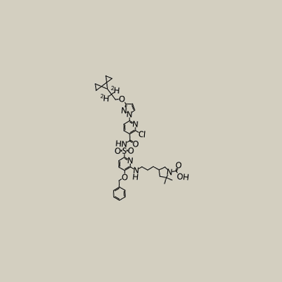 [2H]C([2H])(COc1ccn(-c2ccc(C(=O)NS(=O)(=O)c3ccc(OCc4ccccc4)c(NCCCC4CN(C(=O)O)C(C)(C)C4)n3)c(Cl)n2)n1)C1C2(CC2)C12CC2